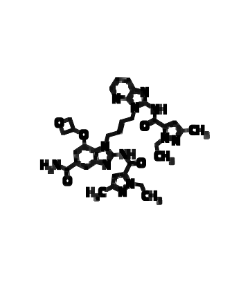 CCn1nc(C)cc1C(=O)Nc1nc2cccnc2n1C/C=C/Cn1c(NC(=O)c2cc(C)nn2CC)nc2cc(C(N)=O)cc(OC3COC3)c21